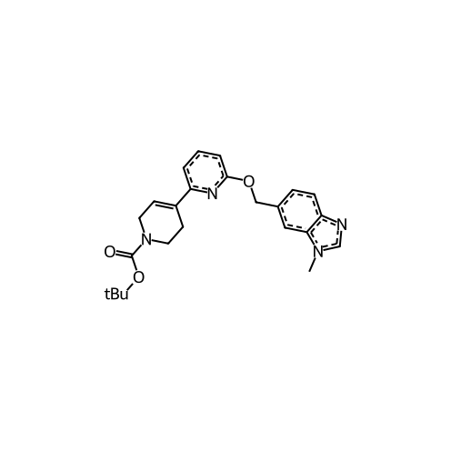 Cn1cnc2ccc(COc3cccc(C4=CCN(C(=O)OC(C)(C)C)CC4)n3)cc21